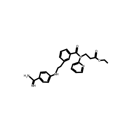 CCOC(=O)CCN(C(=O)c1cccc(CCNc2ccc(C(=N)N)cc2)c1)c1ccccn1